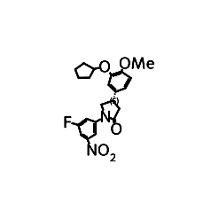 COc1ccc([C@@H]2CC(=O)N(c3cc(F)cc([N+](=O)[O-])c3)C2)cc1OC1CCCC1